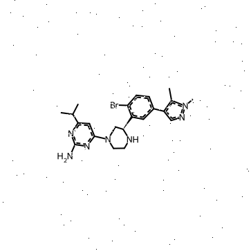 Cc1c(-c2ccc(Br)c([C@@H]3CN(c4cc(C(C)C)nc(N)n4)CCN3)c2)cnn1C